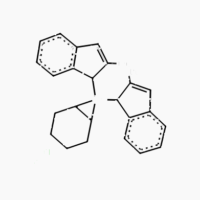 CC(C)(C)C1=Cc2ccccc2[CH]1[Ti+2]1([CH]2C(C(C)(C)C)=Cc3ccccc32)[CH]2CCCC[CH]21.[Cl-].[Cl-]